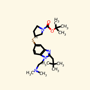 CN(C)CCn1c(CC(C)(C)C)nc2cc(S[C@@H]3CCN(C(=O)OC(C)(C)C)C3)ccc21